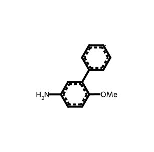 COc1ccc(N)cc1-c1cc[c]cc1